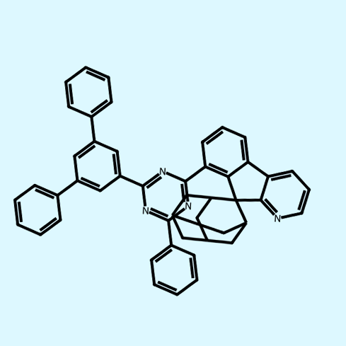 c1ccc(-c2cc(-c3ccccc3)cc(-c3nc(-c4ccccc4)nc(-c4cccc5c4C4(c6ncccc6-5)C5CC6CC(C5)CC4C6)n3)c2)cc1